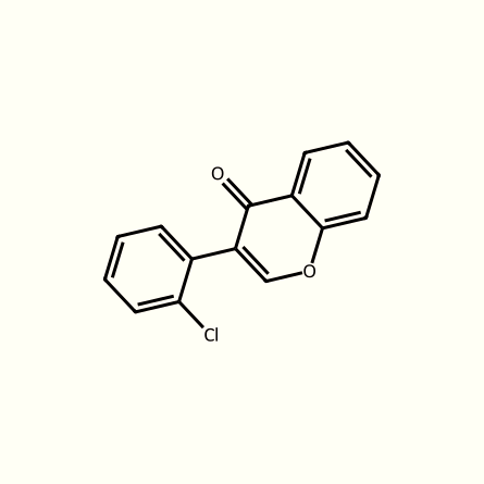 O=c1c(-c2ccccc2Cl)coc2ccccc12